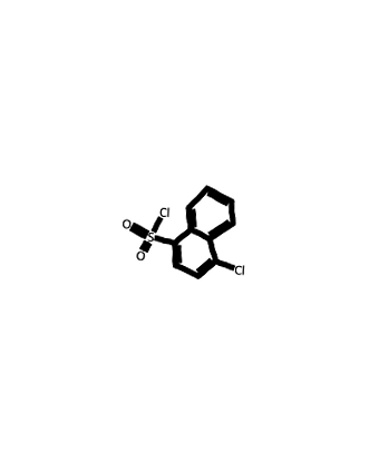 O=S(=O)(Cl)c1ccc(Cl)c2ccccc12